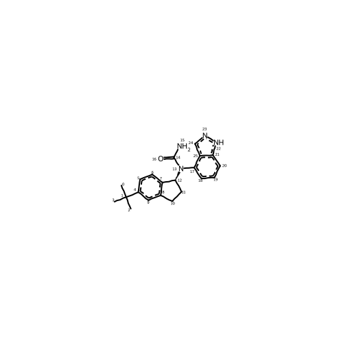 CC(C)(C)c1ccc2c(c1)CC[C@@H]2N(C(N)=O)c1cccc2[nH]ncc12